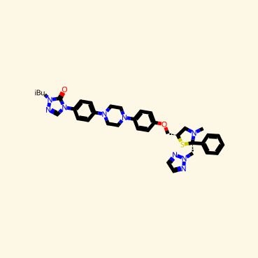 CCC(C)n1ncn(-c2ccc(N3CCN(c4ccc(OC[C@@H]5CN(C)[C@@](Cn6nccn6)(c6ccccc6)S5)cc4)CC3)cc2)c1=O